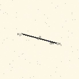 CCCCCCCCCCCCCCCCOC(=O)CCCCCCC/C=C/C[C@H](O)CCCCCC